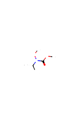 CCC[C@@H](C(=O)O)N(OC(C)(C)C)C(=O)OC(C)(C)C